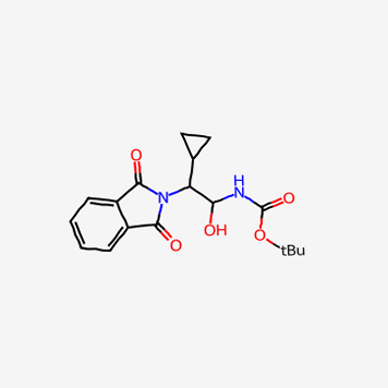 CC(C)(C)OC(=O)NC(O)C(C1CC1)N1C(=O)c2ccccc2C1=O